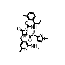 CCC(NC(=O)N1C(=O)[C@H](Cc2cc(C)nc(N)c2)[C@H]1C(=O)N(C)c1ccn(C)n1)c1cccc(C)c1